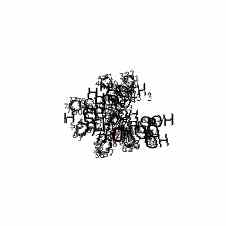 CC(C)(c1ccccc1)c1ccc(C(O)C(CO)(CO)C(O)(c2ccc(C(C)(C)c3ccccc3)c(C(C)(C)c3ccccc3)c2)c2ccc(C(C)(C)c3ccccc3)c(C(C)(C)c3ccccc3)c2)cc1C(C)(C)c1ccccc1.OP(O)OP(O)O